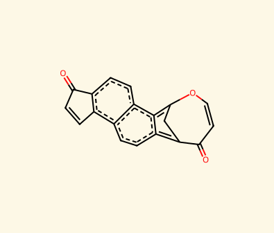 O=C1C=COC2=c3c(ccc4c5c(ccc34)C(=O)C=C5)=C1C2